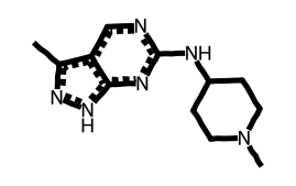 Cc1n[nH]c2nc(NC3CCN(C)CC3)ncc12